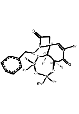 CC(C)[Si]1(C(C)C)O[C@@H]2C(=O)C(Br)=C[C@]3(CC(=O)N3OCc3ccccc3)[C@@H]2O[Si](C(C)C)(C(C)C)O1